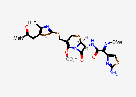 CNC(=O)Cc1sc(SCC2=C(OC(=O)O)N3C(=O)[C@@H](NC(=O)C(=NOC)c4csc(N)n4)[C@@H]3SC2)nc1C